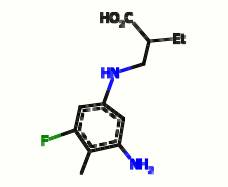 CCC(CNc1cc(N)c(C)c(F)c1)C(=O)O